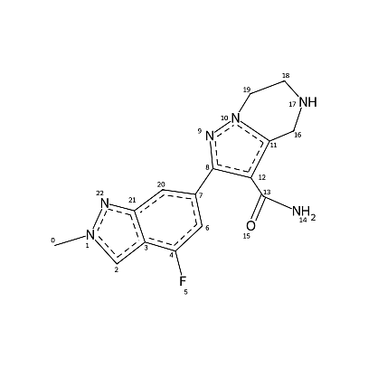 Cn1cc2c(F)cc(-c3nn4c(c3C(N)=O)CNCC4)cc2n1